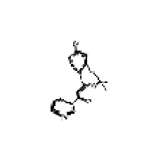 CC1(C)Cc2cc(Br)ccc2/C(=C/C(=O)c2cccnc2)N1